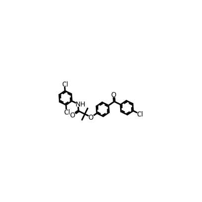 CC(C)(Oc1ccc(C(=O)c2ccc(Cl)cc2)cc1)C(=O)Nc1cc(Cl)ccc1Cl